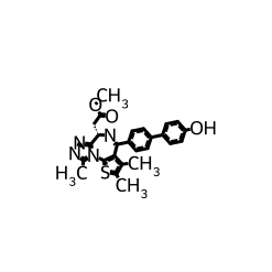 COC(=O)C[C@@H]1N=C(c2ccc(-c3ccc(O)cc3)cc2)c2c(sc(C)c2C)-n2c(C)nnc21